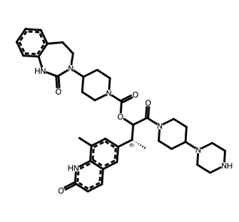 Cc1cc([C@@H](C)C(OC(=O)N2CCC(N3CCc4ccccc4NC3=O)CC2)C(=O)N2CCC(N3CCNCC3)CC2)cc2ccc(=O)[nH]c12